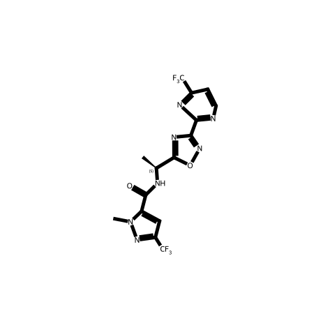 C[C@H](NC(=O)c1cc(C(F)(F)F)nn1C)c1nc(-c2nccc(C(F)(F)F)n2)no1